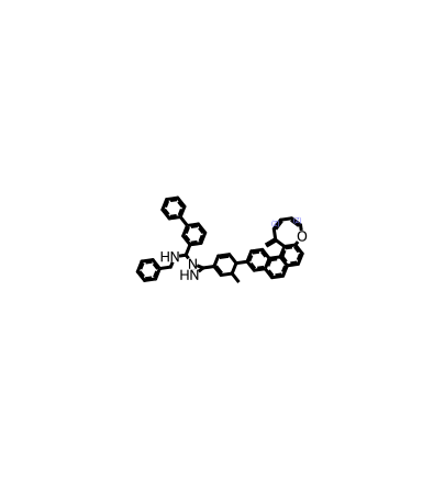 C=C1/C=C\C=C/Oc2ccc3ccc4cc(C5C=CC(C6NN6C(NCc6ccccc6)c6cccc(-c7ccccc7)c6)=CC5C)ccc4c3c21